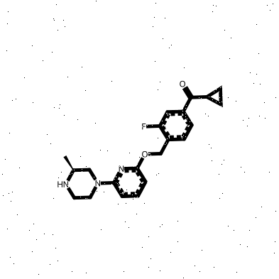 C[C@H]1CN(c2cccc(OCc3ccc(C(=O)C4CC4)cc3F)n2)CCN1